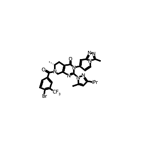 Cc1cc(C(C)C)nn1-c1nc2c(c(=O)n1-c1ccn3c(C)nnc3c1)C[C@@H](C)N(C(=O)c1ccc(Br)c(C(F)(F)F)c1)C2